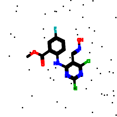 COC(=O)c1cc(F)ccc1Nc1nc(Cl)nc(Cl)c1/C=N/O